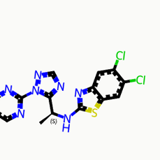 C[C@H](Nc1nc2cc(Cl)c(Cl)cc2s1)c1ncnn1-c1ncccn1